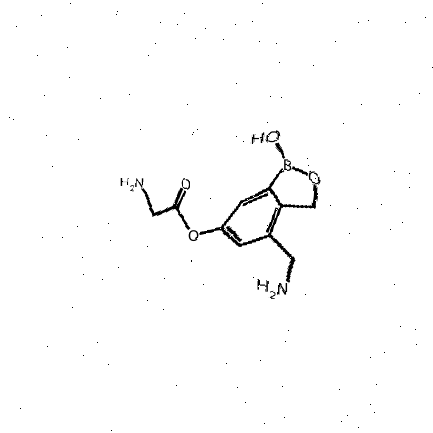 NCC(=O)Oc1cc(CN)c2c(c1)B(O)OC2